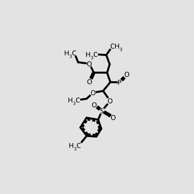 CCOC(=O)C(CC(C)C)C(P=O)C(OCC)OS(=O)(=O)c1ccc(C)cc1